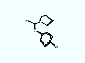 CCCCC(Oc1ccc(C(C)=O)cc1)N1CCCC1